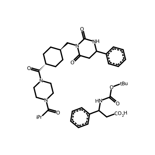 CC(C)(C)OC(=O)NC(CC(=O)O)c1ccccc1.CC(C)C(=O)N1CCN(C(=O)[C@H]2CC[C@H](CN3C(=O)CC(c4ccccc4)NC3=O)CC2)CC1